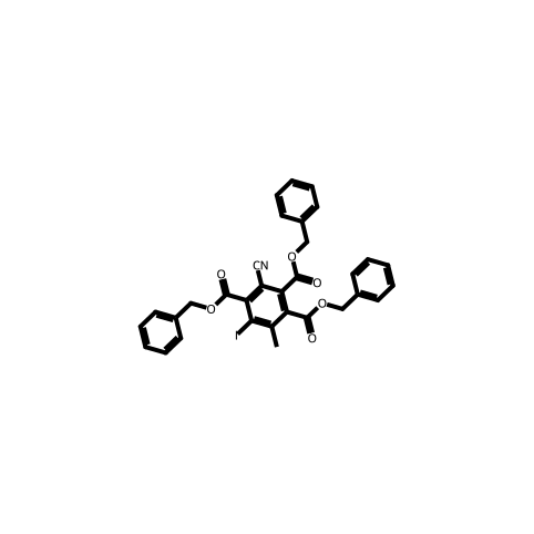 Cc1c(I)c(C(=O)OCc2ccccc2)c(C#N)c(C(=O)OCc2ccccc2)c1C(=O)OCc1ccccc1